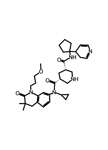 COCCCN1C(=O)C(C)(C)Cc2ccc(N(C(=O)[C@H]3CNC[C@@H](C(=O)NC4(C5C=CN=CC5)CCCC4)C3)C3CC3)cc21